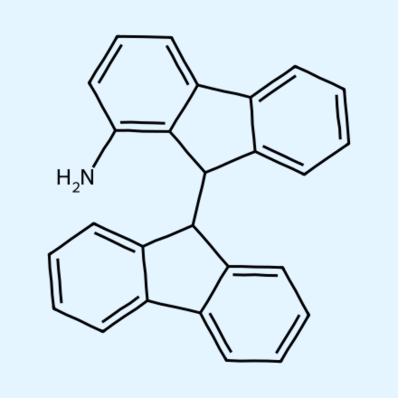 Nc1cccc2c1C(C1c3ccccc3-c3ccccc31)c1ccccc1-2